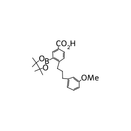 COc1cccc(CCCc2ccc(C(=O)O)cc2B2OC(C)(C)C(C)(C)O2)c1